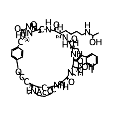 CC(=O)C1CC(=O)N[C@H]2CCCCN(C)[C@H]1CCOc1ccc(cc1)C[C@@H](C(N)=O)NC(=O)CNC(=O)[C@H](CCCCNC(C)O)NC(=O)[C@H](Cc1c[nH]c3c(C)cccc13)NC(=O)C([C@@H](C)O)N(C)C2=O